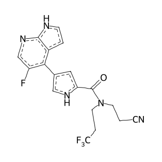 N#CCCN(CCC(F)(F)F)C(=O)c1cc(-c2c(F)cnc3[nH]ccc23)c[nH]1